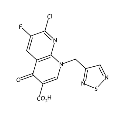 O=C(O)c1cn(Cc2cnsn2)c2nc(Cl)c(F)cc2c1=O